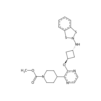 COC(=O)N1CCC(c2nccnc2O[C@H]2C[C@H](NN3Sc4ccccc4S3)C2)CC1